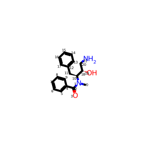 CN(C(=O)c1ccccc1)[C@@H](Cc1ccccc1)[C@@H](O)CN